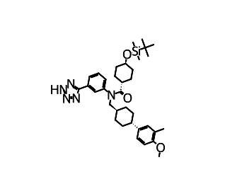 COc1ccc([C@H]2CC[C@H](CN(c3cccc(-c4nn[nH]n4)c3)C(=O)[C@H]3CC[C@H](O[Si](C)(C)C(C)(C)C)CC3)CC2)cc1C